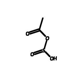 CC(=O)OS(=O)O